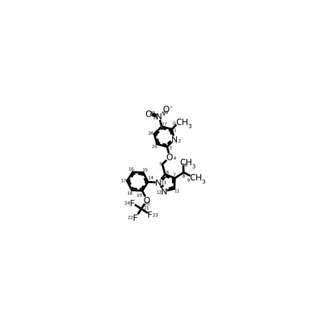 Cc1nc(OCc2c(C(C)C)cnn2-c2ccccc2OC(F)(F)F)ccc1[N+](=O)[O-]